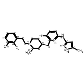 Cc1cc(Nc2ccc(F)c(C[C@@H]3CCN(CCc4cccc(Cl)c4Cl)[C@H](C)C3)n2)n[nH]1